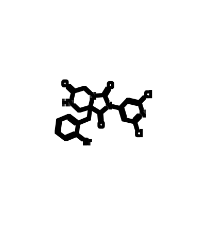 O=C1CN2C(=O)N(c3cc(Cl)nc(Cl)c3)C(=O)C2(Cc2ccccc2Br)CN1